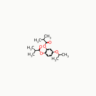 CC(C)Oc1ccc(OC(=O)C(C)C)c(OC(=O)C(C)C)c1